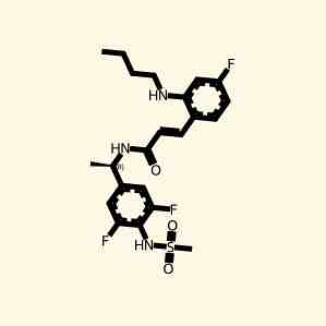 CCCCNc1cc(F)ccc1C=CC(=O)N[C@H](C)c1cc(F)c(NS(C)(=O)=O)c(F)c1